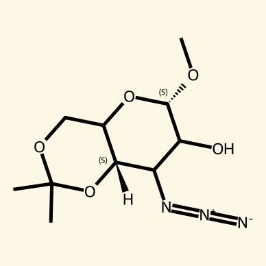 CO[C@H]1OC2COC(C)(C)O[C@H]2C(N=[N+]=[N-])C1O